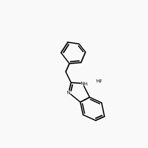 F.c1ccc(Cc2nc3ccccc3[nH]2)cc1